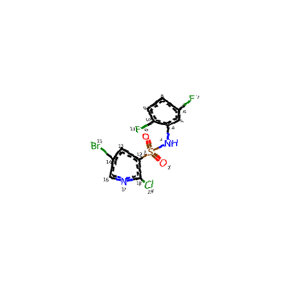 O=S(=O)(Nc1cc(F)ccc1F)c1cc(Br)cnc1Cl